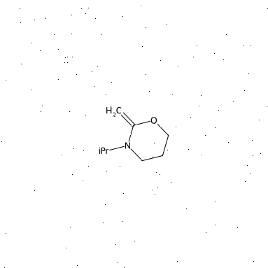 C=C1OCCCN1C(C)C